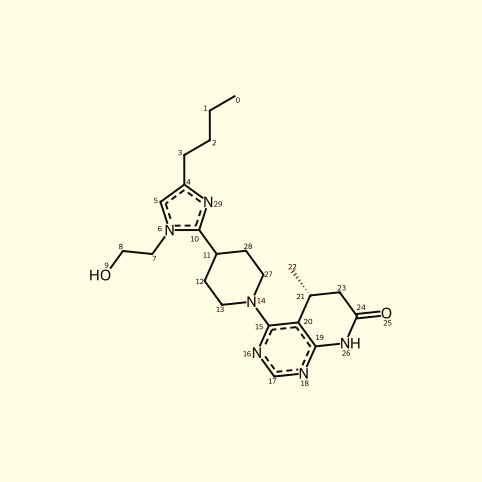 CCCCc1cn(CCO)c(C2CCN(c3ncnc4c3[C@H](C)CC(=O)N4)CC2)n1